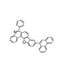 c1ccc(-c2nc3ccccc3c3c2ccc2c4cc(-c5cc6ccccc6c6ccccc56)ccc4oc23)cc1